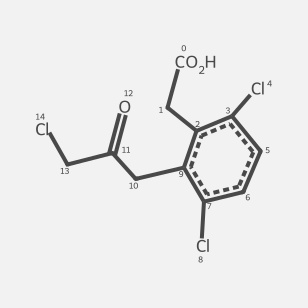 O=C(O)Cc1c(Cl)ccc(Cl)c1CC(=O)CCl